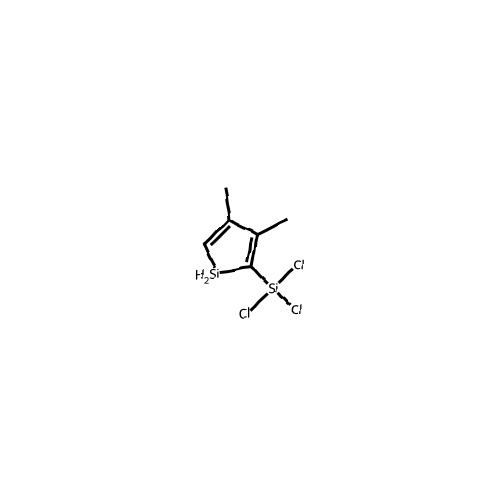 CC1=C[SiH2]C([Si](Cl)(Cl)Cl)=C1C